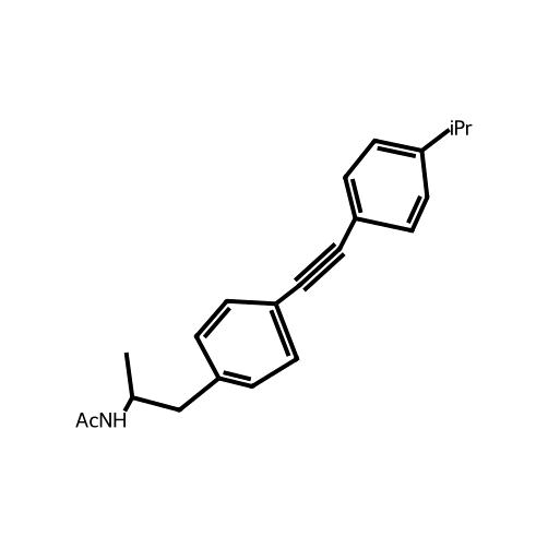 CC(=O)NC(C)Cc1ccc(C#Cc2ccc(C(C)C)cc2)cc1